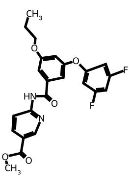 CCCOc1cc(Oc2cc(F)cc(F)c2)cc(C(=O)Nc2ccc(C(=O)OC)cn2)c1